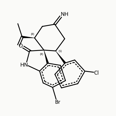 C=C(C)[C@H]1CC(=N)C[C@@H](c2cccc(Cl)c2)[C@]12C(=O)Nc1cc(Br)ccc12